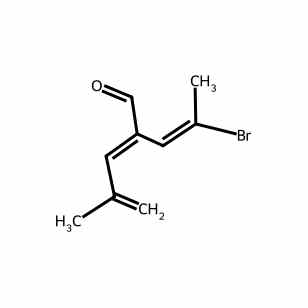 C=C(C)/C=C(C=O)\C=C(/C)Br